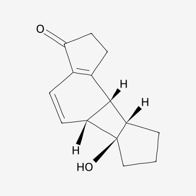 O=C1CCC2=C1C=C[C@@H]1[C@H]2[C@@H]2CCC[C@]12O